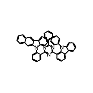 c1ccc(-c2nc(-c3ccccc3-n3c4ccccc4c4cc5ccccc5cc43)nc(-c3cccc4c5ccccc5n(-c5ccccc5)c34)n2)cc1